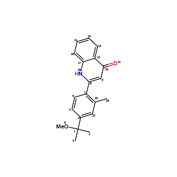 COC(C)(C)c1ccc(-c2cc(=O)c3ccccc3[nH]2)c(C)c1